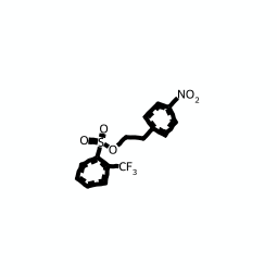 O=[N+]([O-])c1ccc(CCOS(=O)(=O)c2ccccc2C(F)(F)F)cc1